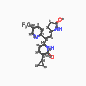 O=C1CC[C@H](/C=C(\c2ccc(C(F)(F)F)cn2)c2ccc(C3CC3)c(=O)[nH]2)N1